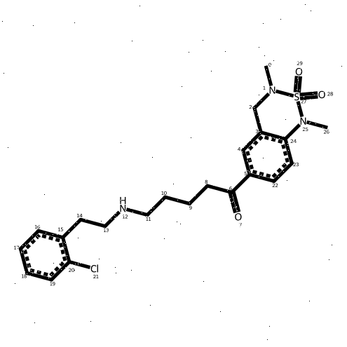 CN1Cc2cc(C(=O)CCCCNCCc3ccccc3Cl)ccc2N(C)S1(=O)=O